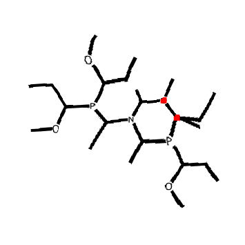 CCOC(C)N(C(C)P(C(CC)OC)C(CC)OC)C(C)P(C(CC)OC)C(CC)OC